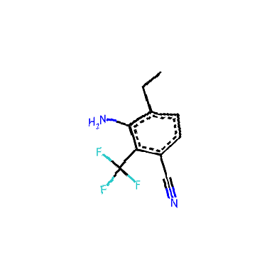 CCc1ccc(C#N)c(C(F)(F)F)c1N